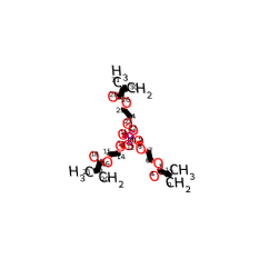 C=C(C)C(=O)OCCOOP(=O)(OOCCOC(=O)C(=C)C)OOCCOC(=O)C(=C)C